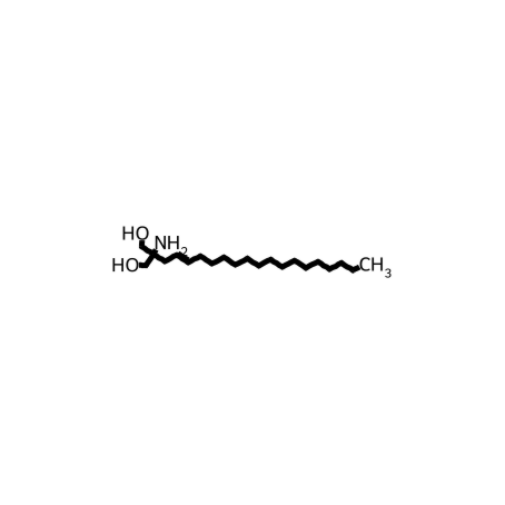 CCCCCCCCCCCCCCCC=CCC(N)(CO)CO